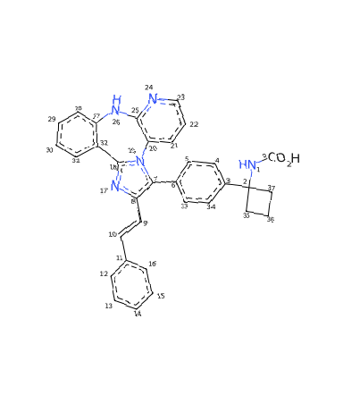 O=C(O)NC1(c2ccc(-c3c(/C=C/c4ccccc4)nc4n3-c3cccnc3Nc3ccccc3-4)cc2)CCC1